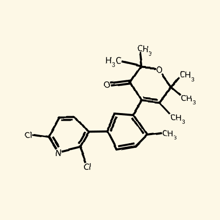 CC1=C(c2cc(-c3ccc(Cl)nc3Cl)ccc2C)C(=O)C(C)(C)OC1(C)C